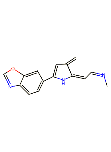 C=c1cc(-c2ccc3ncoc3c2)[nH]/c1=C/C=N\C